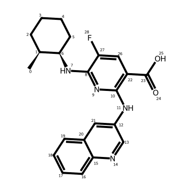 C[C@H]1CCCC[C@H]1Nc1nc(Nc2cnc3ccccc3c2)c(C(=O)O)cc1F